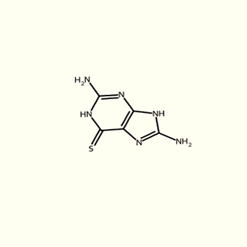 Nc1nc2[nH]c(N)nc2c(=S)[nH]1